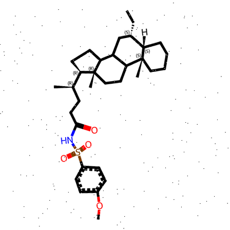 CC[C@H]1CC2C3CC[C@H]([C@H](C)CCC(=O)NS(=O)(=O)c4ccc(OC)cc4)[C@@]3(C)CCC2[C@@]2(C)CCCC[C@@H]12